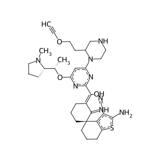 C#COCCC1CNCCN1c1cc(O[C@@H](C)[C@@H]2CCCN2C)nc(/C(O)=C2\CCC[C@@]3(CCCc4sc(N)c(C#N)c43)C2=N)n1